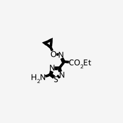 CCOC(=O)/C(=N/OC1CC1)c1nsc(N)n1